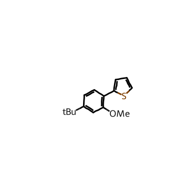 COc1cc(C(C)(C)C)ccc1-c1cccs1